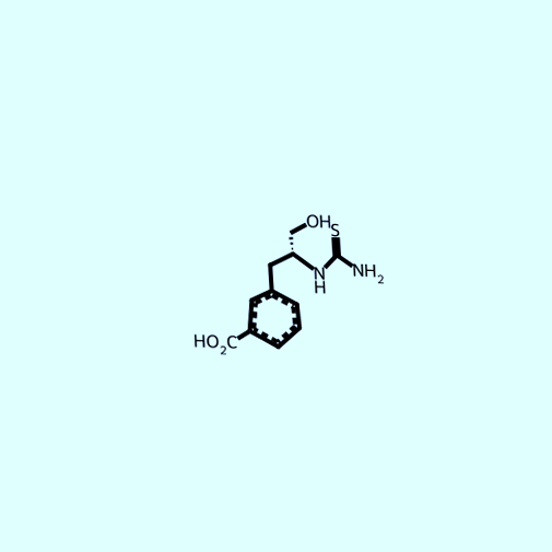 NC(=S)N[C@@H](CO)Cc1cccc(C(=O)O)c1